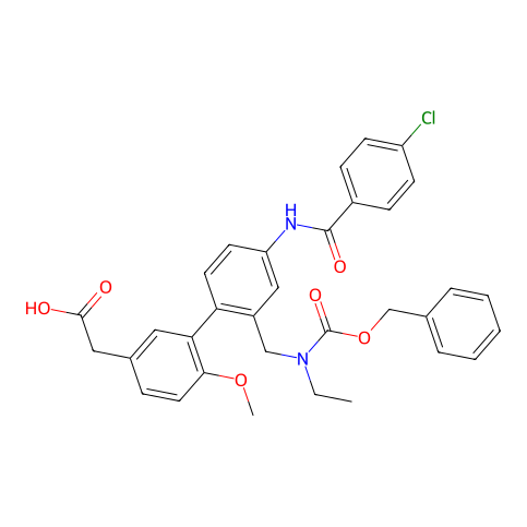 CCN(Cc1cc(NC(=O)c2ccc(Cl)cc2)ccc1-c1cc(CC(=O)O)ccc1OC)C(=O)OCc1ccccc1